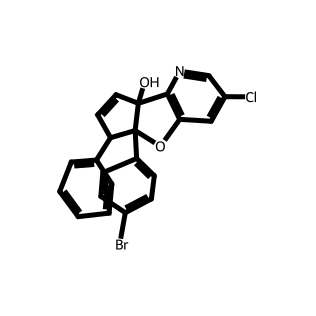 OC12C=CC(c3ccccc3)C1(c1ccc(Br)cc1)Oc1cc(Cl)cnc12